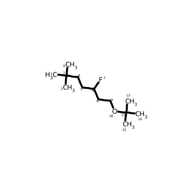 CC(C)(C)CCC(F)CCOC(C)(C)C